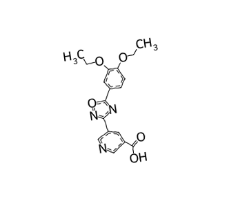 CCOc1ccc(-c2nc(-c3cncc(C(=O)O)c3)no2)cc1OCC